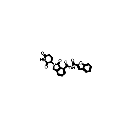 O=C1CCC(N2Cc3cccc(C(=O)NC(=O)c4cc5ccccc5o4)c3C2=O)C(=O)N1